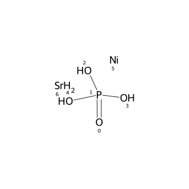 O=P(O)(O)O.[Ni].[SrH2]